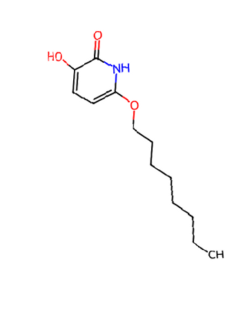 CCCCCCCCOc1ccc(O)c(=O)[nH]1